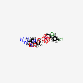 C[C@@H]1[C@@H](COP2(=O)OCC[C@@H](c3ccc(Cl)cc3Cl)O2)O[C@@H](n2ccc3c(N)ncnc32)[C@]1(C)O